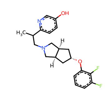 CC(CN1C[C@H]2C[C@H](Oc3cccc(F)c3F)C[C@H]2C1)c1ccc(O)cn1